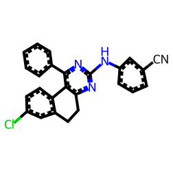 N#Cc1cccc(Nc2nc3c(c(-c4ccccc4)n2)-c2ccc(Cl)cc2CC3)c1